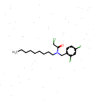 CCCCCCCCCN(Cc1ccc(F)cc1F)C(=O)CCl